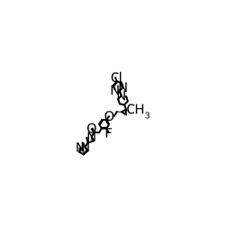 C[C@]1(C2CCN(c3ncc(Cl)cn3)CC2)C[C@H]1CCOc1ccc(CC(=O)N2CC(n3cccn3)C2)c(F)c1